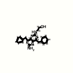 Nc1nc(Cc2ccccc2)c2nc(NCCO)nc(Cc3ccccc3)c2n1